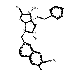 Nc1nc2cc(C[C@H]3C4OC(O)[C@H](O)[C@@]4(OCc4ccccc4)C[C@@H]3F)ccc2cc1F